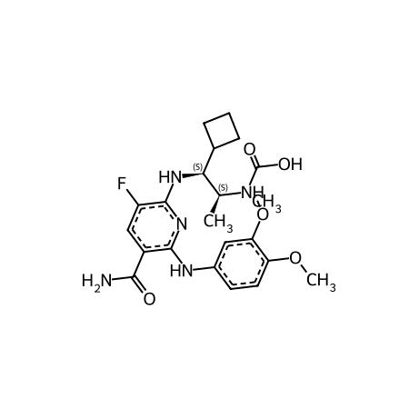 COc1ccc(Nc2nc(N[C@@H](C3CCC3)[C@H](C)NC(=O)O)c(F)cc2C(N)=O)cc1OC